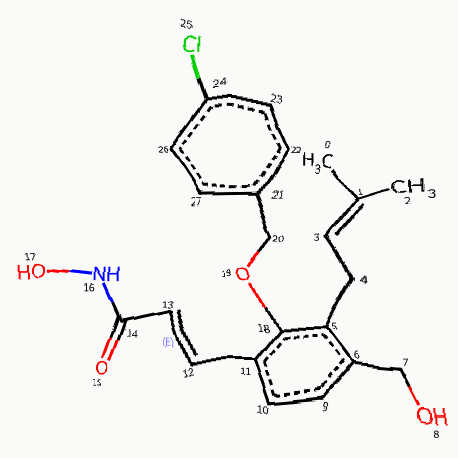 CC(C)=CCc1c(CO)ccc(/C=C/C(=O)NO)c1OCc1ccc(Cl)cc1